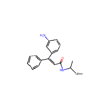 CCCCCCCCCC(C)NC(=O)/C=C(/c1ccccc1)c1cccc(N)c1